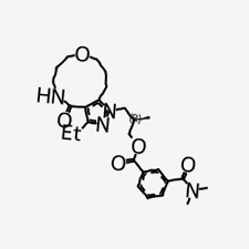 CCc1nn(C[C@@H](C)COC(=O)c2cccc(C(=O)N(C)C)c2)c2c1C(=O)NCCCOCCC2